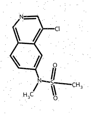 CN(c1ccc2cncc(Cl)c2c1)S(C)(=O)=O